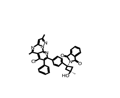 Cc1cc2nc(C)c3c(Cl)c(-c4ccccc4)c(-c4ccc([C@]5(N6C(=O)c7ccccc7C6=O)C[C@](C)(O)C5)cc4)nc3n2n1